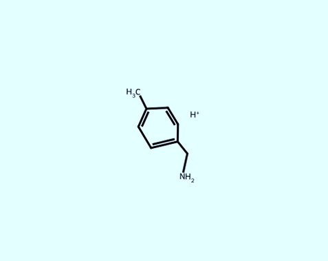 Cc1ccc(CN)cc1.[H+]